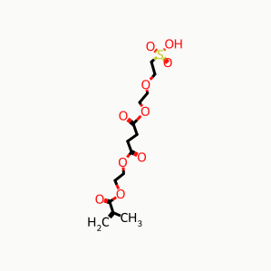 C=C(C)C(=O)OCCOC(=O)CCC(=O)OCCOCCS(=O)(=O)O